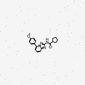 COc1ccc(-c2cccc3nc(NC(=O)C4CCCC4)nn23)cc1